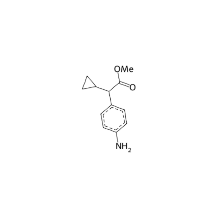 COC(=O)C(c1ccc(N)cc1)C1CC1